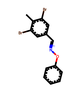 Cc1c(Br)cc(/C=N/Oc2ccccc2)cc1Br